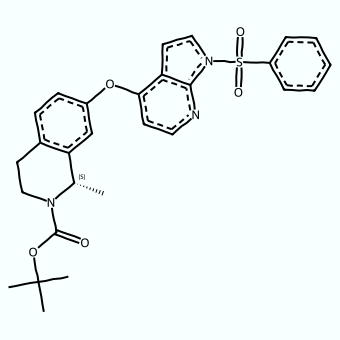 C[C@H]1c2cc(Oc3ccnc4c3ccn4S(=O)(=O)c3ccccc3)ccc2CCN1C(=O)OC(C)(C)C